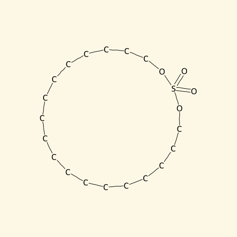 O=S1(=O)OCCCCCCCCCCCCCCCCCCO1